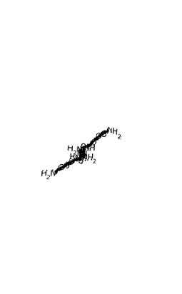 NCCCOCCOCCOCCCNC(=O)c1nc(N)c(C(=O)NCCCOCCOCCOCCCN)nc1N